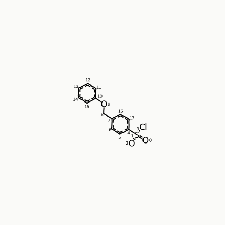 O=S(=O)(Cl)c1ccc(COc2ccccc2)cc1